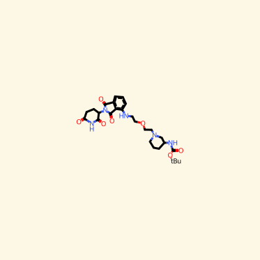 CC(C)(C)OC(=O)NC1CCCN(CCOCCNc2cccc3c2C(=O)N(C2CCC(=O)NC2=O)C3=O)C1